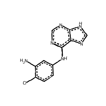 Nc1cc(Nc2ncnc3[nH]cnc23)ccc1Cl